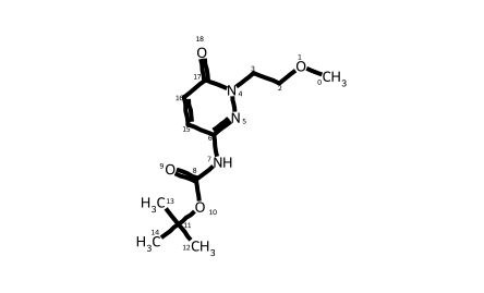 COCCn1nc(NC(=O)OC(C)(C)C)ccc1=O